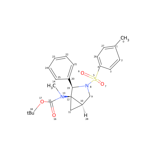 Cc1ccc(S(=O)(=O)N2C[C@H]3C[C@]3(N(C)C(=O)OC(C)(C)C)[C@H]2c2ccccc2)cc1